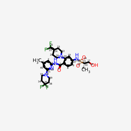 Cc1cc(NC(=O)c2ccc(NS(=O)(=O)[C@@H](C)CO)cc2N2CCC(=C(F)F)CC2)nc(N2CCC(F)(F)CC2)c1